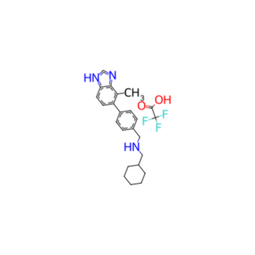 Cc1c(-c2ccc(CNCC3CCCCC3)cc2)ccc2[nH]cnc12.O=C(O)C(F)(F)F